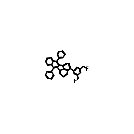 FCc1cc(CF)cc(-c2ccc3c4c(cccc24)-c2c-3c(-c3ccccc3)c3ccccc3c2-c2ccccc2)c1